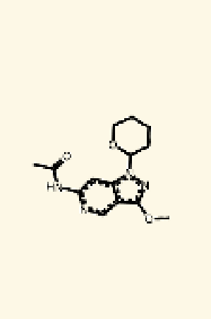 COc1nn(C2CCCCO2)c2cc(NC(C)=O)ncc12